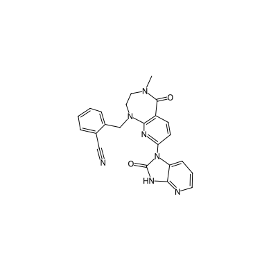 CN1CCN(Cc2ccccc2C#N)c2nc(-n3c(=O)[nH]c4ncccc43)ccc2C1=O